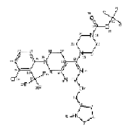 CN1CCC[C@@H]1COc1nc2c(c(N3CCN(C(=O)OC(C)(C)C)CC3)n1)CCN(c1cccc(Cl)c1C(F)(F)F)C2